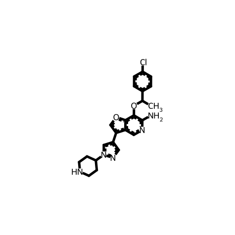 CC(Oc1c(N)ncc2c(-c3cnn(C4CCNCC4)c3)coc12)c1ccc(Cl)cc1